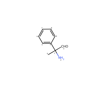 CC(N)(C=O)c1ccccc1